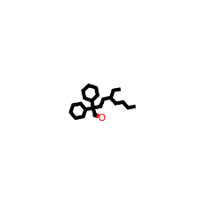 CCCCC(CC)CCC(C=O)(C1CCCCC1)C1CCCCC1